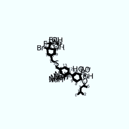 CC(C)CC(C)Oc1ccc(-c2ccc(CSCc3ccc(C(F)(F)P(=O)(O)O)c(Br)c3)cc2)cc1P(=O)(O)O.[NaH].[NaH].[NaH].[NaH]